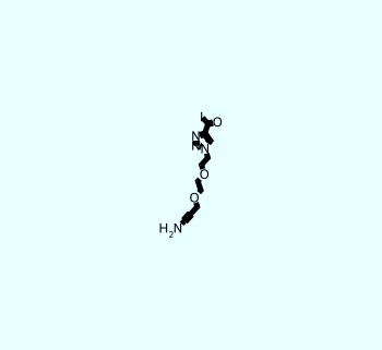 NC#CCOCCOCCn1cc(C(=O)I)nn1